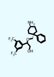 N[C@H]1CC[C@@](COC(CO)c2cc(C(F)(F)F)cc(C(F)(F)F)c2)(c2ccccc2)CC1